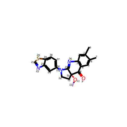 Cc1cc2c(cc1C)C(=O)[C@]1(OI)CCN(c3ccc4scnc4c3)C1=N2